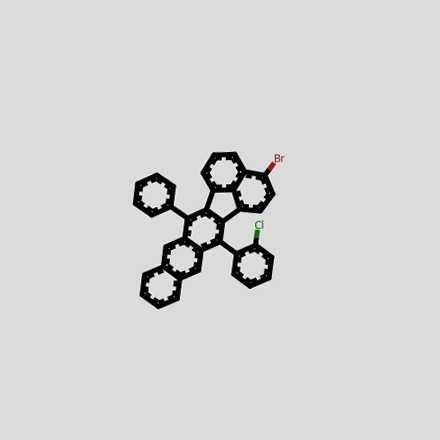 Clc1ccccc1-c1c2c(c(-c3ccccc3)c3cc4ccccc4cc13)-c1cccc3c(Br)ccc-2c13